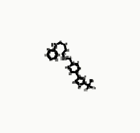 FC(F)(F)c1nc(-c2ccc(CNC3CCCNc4ccccc43)nc2)no1